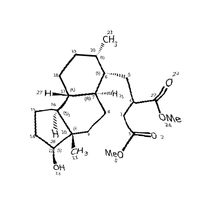 COC(=O)CC(C[C@@H]1[C@H]2CC[C@]3(C)[C@@H](O)CC[C@H]3[C@@H]2CC[C@@H]1C)C(=O)OC